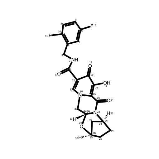 O=C(NCc1cc(F)ccc1F)c1cn2c(c(O)c1=O)C(=O)N1[C@H]3CC[C@H](C3)O[C@@H]1C2